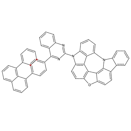 c1ccc(-c2cccc3cccc(-c4ccc(-c5nc(-n6c7ccc8oc9ccc%10c%11ccccc%11n%11c%12cccc6c%12c7c8c9c%10%11)nc6ccccc56)cc4)c23)cc1